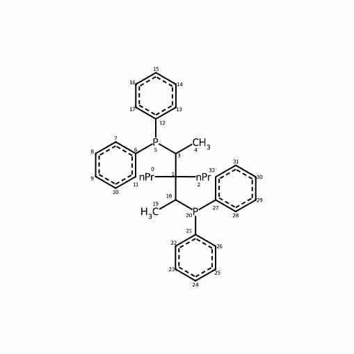 CCCC(CCC)(C(C)P(c1ccccc1)c1ccccc1)C(C)P(c1ccccc1)c1ccccc1